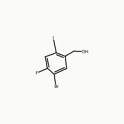 OCc1cc(Br)c(F)cc1I